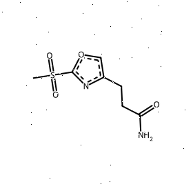 CS(=O)(=O)c1nc(CCC(N)=O)co1